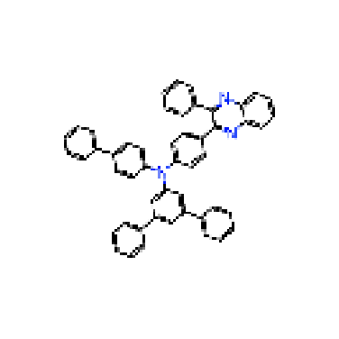 c1ccc(-c2ccc(N(c3ccc(-c4nc5ccccc5nc4-c4ccccc4)cc3)c3cc(-c4ccccc4)cc(-c4ccccc4)c3)cc2)cc1